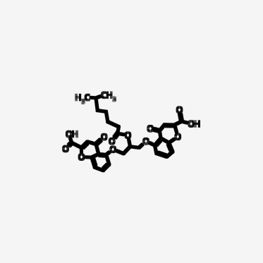 CC(C)CCCCC(=O)OC(COc1cccc2oc(C(=O)O)cc(=O)c12)COc1cccc2oc(C(=O)O)cc(=O)c12